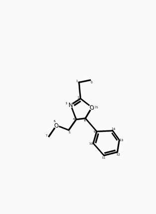 CCC1=NC(COC)C(c2ccccc2)O1